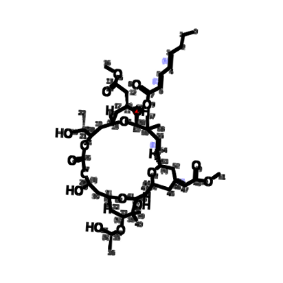 CCC/C=C/C=C/C(=O)O[C@H]1[C@H](CC(=O)OC)C[C@H]2CC([C@@H](C)O)OC(=O)C[C@H](O)C[C@@H]3C[C@H](O[C@@H](C)O)C(C)(C)[C@](O)(C[C@@H]4C/C(=C/C(=O)OC)C[C@H](/C=C/C(C)(C)[C@]1(O)O2)O4)O3